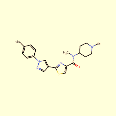 CCN1CCC(N(C)C(=O)c2csc(-c3cnn(-c4ccc(C(C)(C)C)cc4)c3)n2)CC1